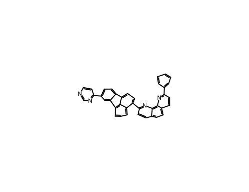 c1ccc(-c2ccc3ccc4ccc(-c5ccc6c7c(cccc57)-c5cc(-c7ccncn7)ccc5-6)nc4c3n2)cc1